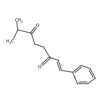 CC(C)C(=O)CCC(=O)/C=C/c1ccccc1